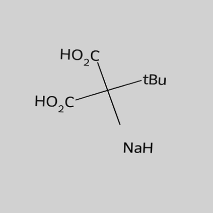 CC(C)(C)C(C)(C(=O)O)C(=O)O.[NaH]